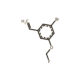 C=Cc1cc(Br)cc(OCF)c1